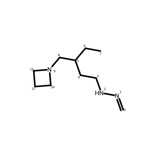 C=NNCCC(CC)CN1CCC1